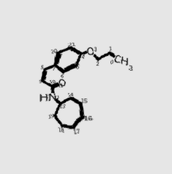 CCCOc1ccc(/C=C\C(=O)NC2CCCCCC2)cc1